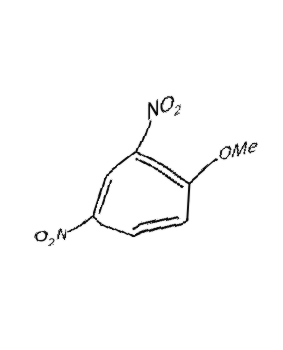 COc1ccc([15N+](=O)[O-])cc1[15N+](=O)[O-]